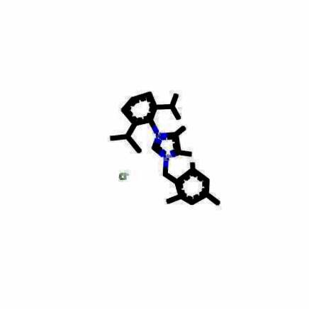 Cc1cc(C)c(C[n+]2cn(-c3c(C(C)C)cccc3C(C)C)c(C)c2C)c(C)c1.[Cl-]